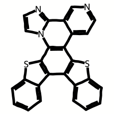 c1ccc2c(c1)sc1c2c2c3ccccc3sc2c2c1c1ccncc1c1nccn12